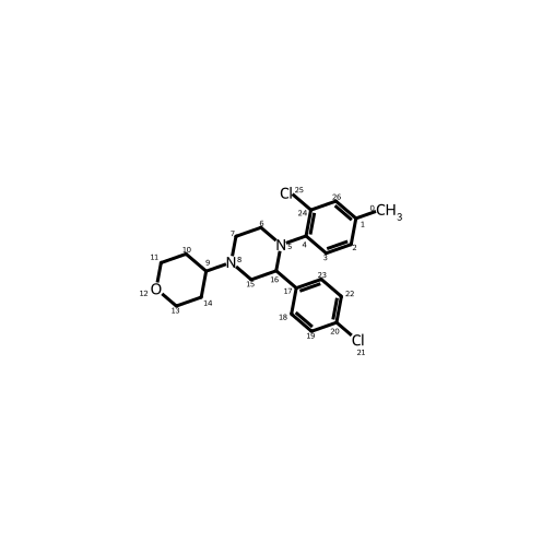 Cc1ccc(N2CCN(C3CCOCC3)CC2c2ccc(Cl)cc2)c(Cl)c1